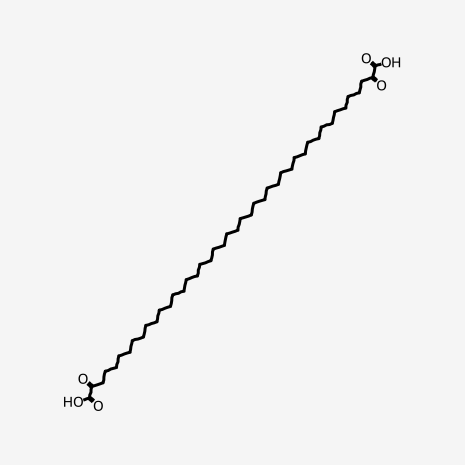 O=C(O)C(=O)CCCCCCCCCCCCCCCCCCCCCCCCCCCCCCCCCCCCCCCCC(=O)C(=O)O